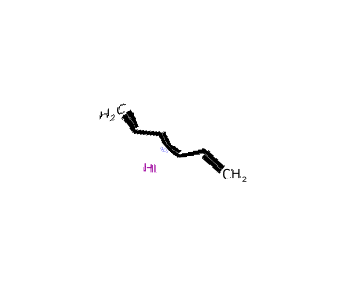 C=C/C=C/C=C.I